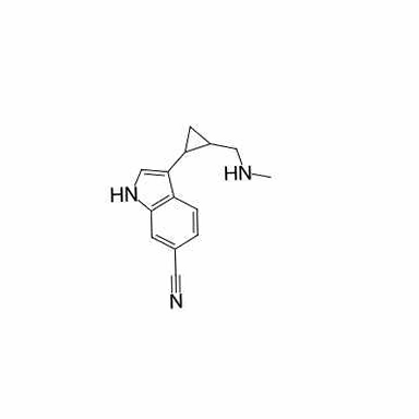 CNCC1CC1c1c[nH]c2cc(C#N)ccc12